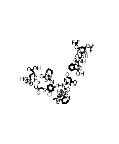 CCS(=O)(=O)c1cccnc1S(=O)(=O)NC(=O)Nc1nc(OC)cc(OC)n1.COC(=O)CSc1cc(/N=c2\sc(=O)n3n2CCCC3)c(F)cc1Cl.CP(=O)(O)CCC(N)C(=O)O.O=C(Nc1nc(OC(F)F)cc(OC(F)F)n1)NS(=O)(=O)c1ccccc1C(=O)O